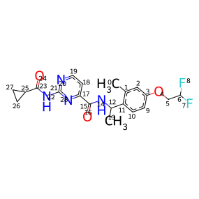 Cc1cc(OCC(F)F)ccc1C(C)NC(=O)c1ccnc(NC(=O)C2CC2)n1